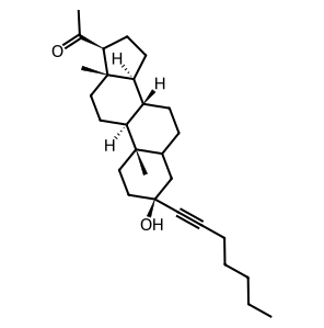 CCCCCC#C[C@]1(O)CC[C@@]2(C)C(CC[C@H]3[C@@H]4CC[C@H](C(C)=O)[C@@]4(C)CC[C@@H]32)C1